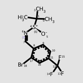 CC(C)(C)[S@@+]([O-])/N=C\c1ccc(C(F)(F)F)cc1Br